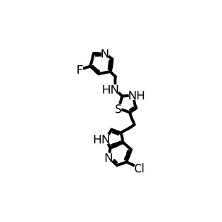 Fc1cncc(CNC2NC=C(Cc3c[nH]c4ncc(Cl)cc34)S2)c1